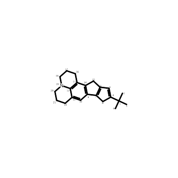 CC(C)(C)C1=CC2=C(C1)c1cc3c4c(c1C2)CCCN4CCC3